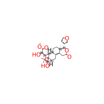 COC(=O)[C@H](O)[C@H]1C(C)(C)[C@H](O)[C@@H]2CC3=C4CC(=O)O[C@@H](c5ccoc5)[C@]4(C)CC[C@@H]3[C@@]1(C)C2=O